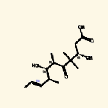 C/C=C/C(C)[C@H](O)[C@@H](C)C(=O)C(C)(C)[C@@H](O)CC(=O)O